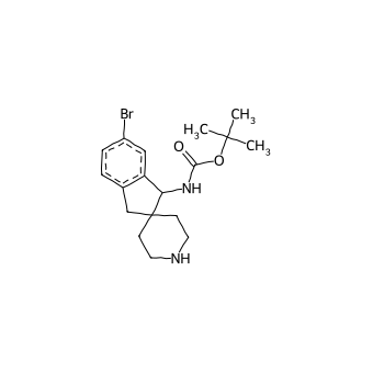 CC(C)(C)OC(=O)NC1c2cc(Br)ccc2CC12CCNCC2